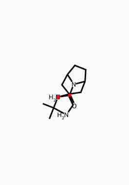 CC(C)(C)OC(=O)N1C2CCC1CC(N)(CN)C2